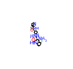 Nc1c(-c2nc3ccc(C(=O)N[C@@H]4CN5CCC4CC5)cc3[nH]2)c(=O)[nH]c2cccc(F)c12